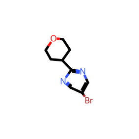 Brc1cnc(C2CCOCC2)nc1